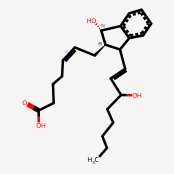 CCCCCC(O)C=CC1c2ccccc2[C@@H](O)[C@@H]1C/C=C\CCCC(=O)O